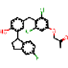 CC(=O)COc1cc(Cl)c(Cc2ccc(O)c(C3CCc4cc(F)ccc43)c2)c(Cl)c1